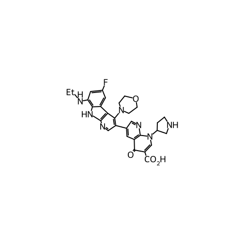 CCNc1cc(F)cc2c1[nH]c1ncc(-c3cnc4c(c3)c(=O)c(C(=O)O)cn4C3CCNC3)c(N3CCOCC3)c12